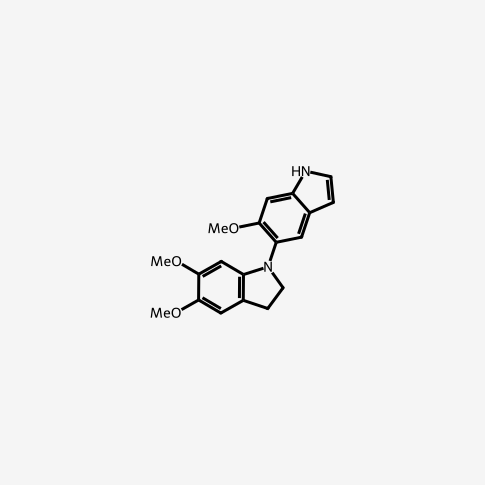 COc1cc2c(cc1OC)N(c1cc3cc[nH]c3cc1OC)CC2